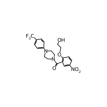 O=C(c1cc([N+](=O)[O-])ccc1OCCO)N1CCN(c2ccc(C(F)(F)F)cc2)CC1